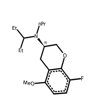 CCCN(C(CC)CC)[C@H]1COc2c(F)ccc(OC)c2C1